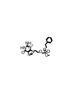 COP(=O)(COCCn1cnc2c(=O)[nH]c(N)nc21)OCCc1ccccc1